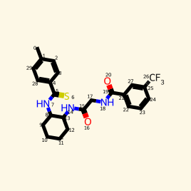 Cc1ccc(C(=S)NC2CC[CH]CC2NC(=O)CNC(=O)c2cccc(C(F)(F)F)c2)cc1